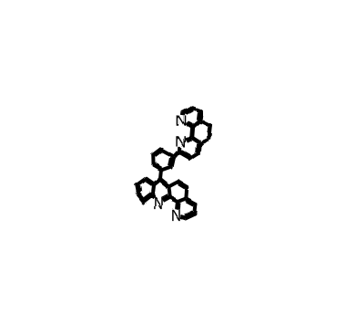 c1cc(-c2ccc3ccc4cccnc4c3n2)cc(-c2c3ccccc3nc3c2ccc2cccnc23)c1